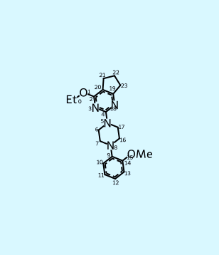 CCOc1nc(N2CCN(c3ccccc3OC)CC2)nc2c1CCC2